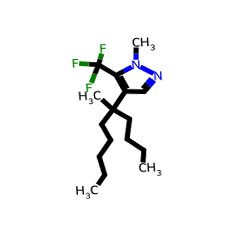 CCCCCC(C)(CCCC)c1cnn(C)c1C(F)(F)F